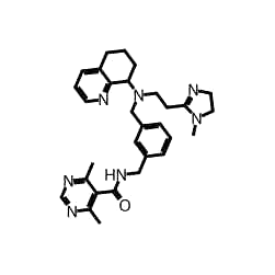 Cc1ncnc(C)c1C(=O)NCc1cccc(CN(CCC2=NCCN2C)C2CCCc3cccnc32)c1